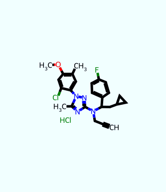 C#CCN(c1nc(C)n(-c2cc(C)c(OC)cc2Cl)n1)C(CC1CC1)c1ccc(F)cc1.Cl